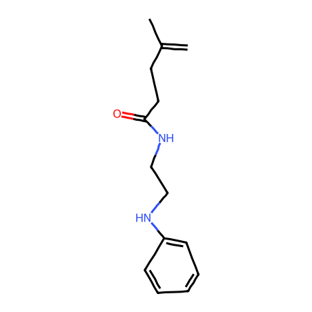 C=C(C)CCC(=O)NCCNc1ccccc1